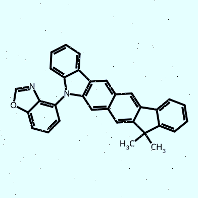 CC1(C)c2ccccc2-c2cc3cc4c5ccccc5n(-c5cccc6ocnc56)c4cc3cc21